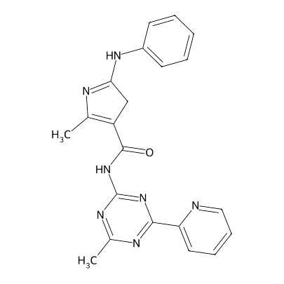 CC1=C(C(=O)Nc2nc(C)nc(-c3ccccn3)n2)CC(Nc2ccccc2)=N1